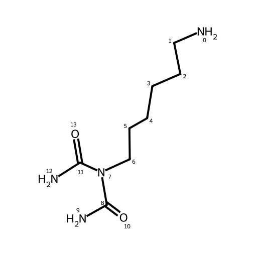 NCCCCCCN(C(N)=O)C(N)=O